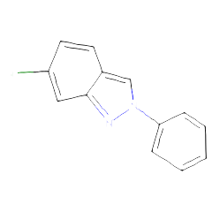 Brc1ccc2cn(-c3ccccc3)nc2c1